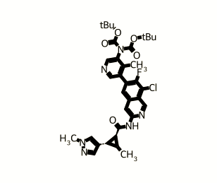 Cc1c(-c2cc3cc(NC(=O)[C@H]4C(C)[C@@H]4c4cnn(C)c4)ncc3c(Cl)c2F)cncc1N(C(=O)OC(C)(C)C)C(=O)OC(C)(C)C